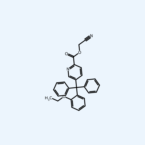 CCOc1ccccc1C(c1ccccc1)(c1ccccc1)c1ccc(C(=O)OCC#N)nc1